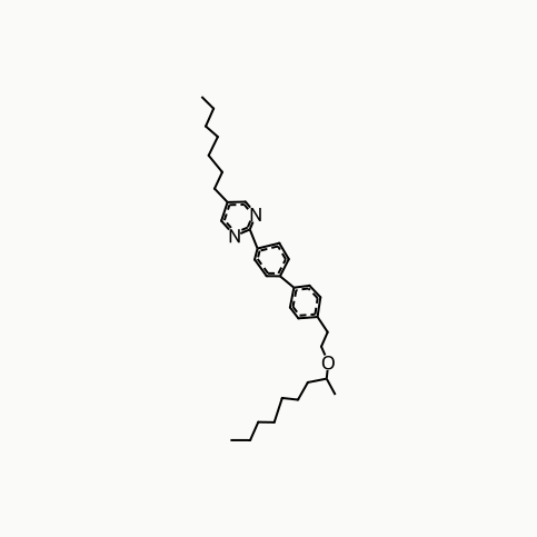 CCCCCCCc1cnc(-c2ccc(-c3ccc(CCOC(C)CCCCCCC)cc3)cc2)nc1